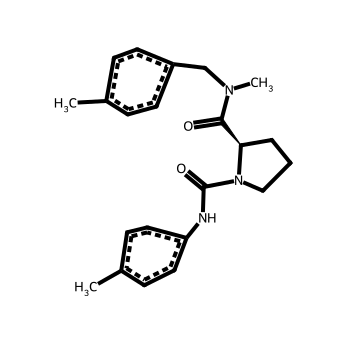 Cc1ccc(CN(C)C(=O)[C@H]2CCCN2C(=O)Nc2ccc(C)cc2)cc1